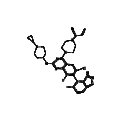 C=CC(=O)N1CCN(c2nc(OC3CCN(C4CC4)CC3)nc3c(F)c(-c4c(C)ccc5cn[nH]c45)c(Cl)cc23)CC1